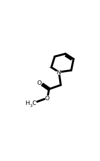 COC(=O)CN1[CH]CC=CC1